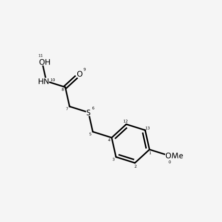 COc1ccc(CSCC(=O)NO)cc1